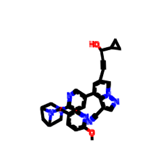 COc1ccc(CN2C3CC2CN(c2ccc(-c4cc(C#CC(O)C5CC5)cn5ncc(C#N)c45)cn2)C3)cn1